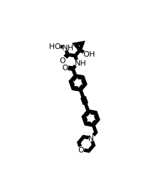 O=C(NC(C(=O)NO)C1(O)CC1)c1ccc(C#Cc2ccc(CN3CCOCC3)cc2)cc1